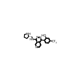 Oc1cc(C(F)(F)F)ccc1-c1nnc(NC[C@@H]2CCCN2)c2cnccc12